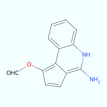 Nc1[nH]c2ccccc2c2c(OC=O)ccc1-2